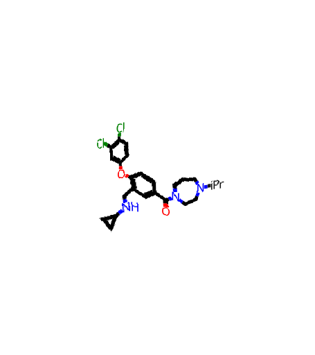 CC(C)N1CCCN(C(=O)c2ccc(Oc3ccc(Cl)c(Cl)c3)c(CNC3CC3)c2)CC1